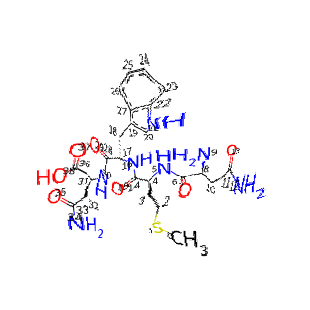 CSCC[C@H](NC(=O)[C@@H](N)CC(N)=O)C(=O)N[C@@H](Cc1c[nH]c2ccccc12)C(=O)N[C@@H](CC(N)=O)C(=O)O